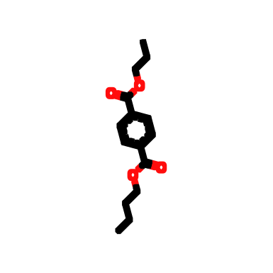 CCCCOC(=O)c1ccc(C(=O)OCCC)cc1